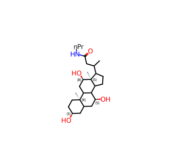 CCCNC(=O)CC(C)C1CCC2C3C(C[C@@H](O)[C@@]12C)[C@]1(C)CC[C@H](O)CC1C[C@@H]3O